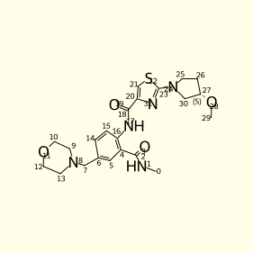 CNC(=O)c1cc(CN2CCOCC2)ccc1NC(=O)c1csc(N2CC[C@H](OC)C2)n1